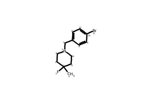 CC1(F)CCN(Cc2ccc(Br)cc2)CC1